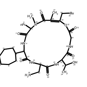 CCCC1C(=O)NC(C2CCCCCC2)C(=O)NC(CN)C(=O)NC(C(C)O)C(=O)NCC(=O)O/C(CC(C)CC)=C(/C)C(=O)N1C